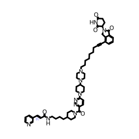 O=C(/C=C/c1cccnc1)NCCCCC1CCN(C(=O)c2ccc(N3CCC(N4CCN(CCCCCCCC#Cc5cccc6c5CN(C5CCC(=O)NC5=O)C6=O)CC4)CC3)nn2)CC1